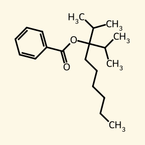 CCCCCCC(OC(=O)c1ccccc1)(C(C)C)C(C)C